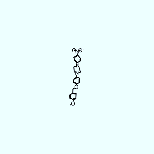 COc1ccc(COc2ccc(N3CCN(c4ccc([N+](=O)[O-])cc4)CC3)cc2)cc1